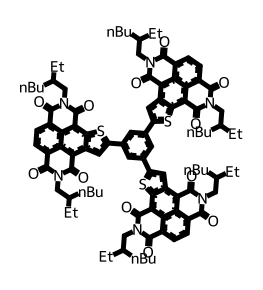 CCCCC(CC)CN1C(=O)c2ccc3c4c(c5sc(-c6cc(-c7cc8c9c%10c(ccc%11c%10c(c8s7)C(=O)N(CC(CC)CCCC)C%11=O)C(=O)N(CC(CC)CCCC)C9=O)cc(-c7cc8c9c%10c(ccc%11c%10c(c8s7)C(=O)N(CC(CC)CCCC)C%11=O)C(=O)N(CC(CC)CCCC)C9=O)c6)cc5c(c24)C1=O)C(=O)N(CC(CC)CCCC)C3=O